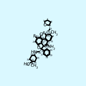 CC1(OC[C@H]2CCCO2)C=CC(C(N)=O)=C(c2c(Cl)c(F)cc3c2C[C@@](CN[C@H]2CC[C@](C)(O)CC2)(c2ccccc2)O3)C1F